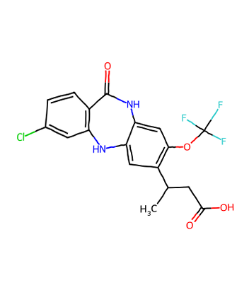 CC(CC(=O)O)c1cc2c(cc1OC(F)(F)F)NC(=O)c1ccc(Cl)cc1N2